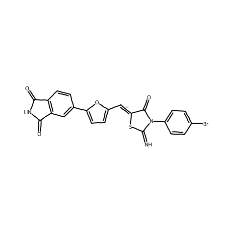 N=C1S/C(=C\c2ccc(-c3ccc4c(c3)C(=O)NC4=O)o2)C(=O)N1c1ccc(Br)cc1